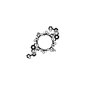 CC(C)C[C@H]1C(=O)O[C@H](Cc2ccc(Cn3nccc3C3CCCO3)cc2)C(=O)N(C)[C@@H](CC(C)C)C(=O)O[C@H](C)C(=O)N(C)[C@@H](CC(C)C)C(=O)O[C@H](Cc2ccc(Cn3ccc(C4CCCO4)n3)cc2)C(=O)N(C)[C@@H](CC(C)C)C(=O)O[C@H](C)C(=O)N1C